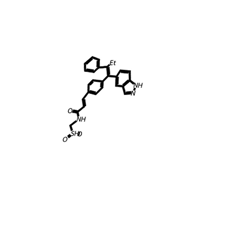 CC/C(=C(/c1ccc(/C=C/C(=O)NC[SH](=O)=O)cc1)c1ccc2[nH]ncc2c1)c1ccccc1